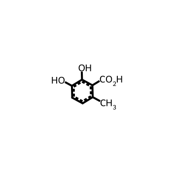 Cc1ccc(O)c(O)c1C(=O)O